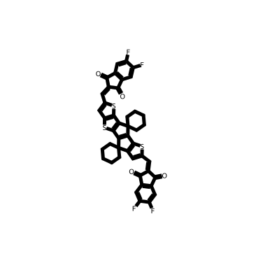 O=C1C(=Cc2cc3c(s2)C2=C(c4sc5cc(C=C6C(=O)c7cc(F)c(F)cc7C6=O)sc5c4C24CCCCC4)C32CCCCC2)C(=O)c2cc(F)c(F)cc21